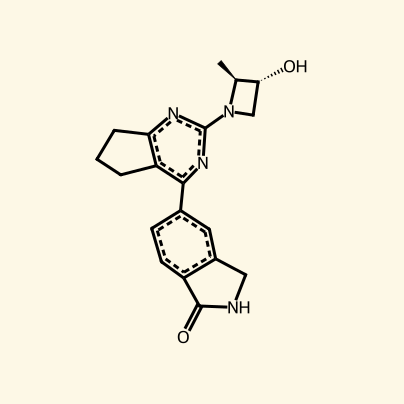 C[C@H]1[C@H](O)CN1c1nc2c(c(-c3ccc4c(c3)CNC4=O)n1)CCC2